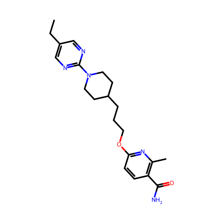 CCc1cnc(N2CCC(CCCOc3ccc(C(N)=O)c(C)n3)CC2)nc1